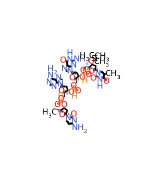 CC[C@H]1O[C@@H](n2ccc(N)nc2=O)CC1O[PH](=O)OC[C@H]1O[C@@H](n2cnc3c(N)ncnc32)CC1O[PH](=O)OC[C@H]1O[C@@H](n2cnc3c(=O)[nH]c(N)nc32)CC1O[PH](=O)OC[C@H]1O[C@@H](n2cc(C)c(=O)[nH]c2=O)CC1O[Si](C)(C)C